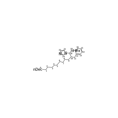 CCCCCCCCCCCCCCCCCCCC(Cc1ccccc1)C(CCCCCC)n1ccnc1